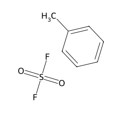 Cc1ccccc1.O=S(=O)(F)F